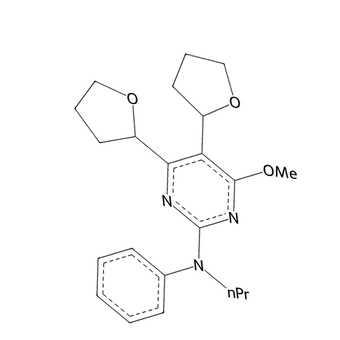 CCCN(c1ccccc1)c1nc(OC)c(C2CCCO2)c(C2CCCO2)n1